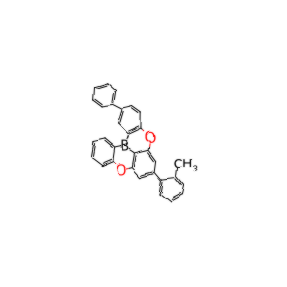 Cc1ccccc1-c1cc2c3c(c1)Oc1ccc(-c4ccccc4)cc1B3c1ccccc1O2